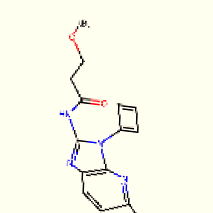 Cc1ccc2nc(NC(=O)CCOC(C)(C)C)n(C3=CC=C3)c2n1